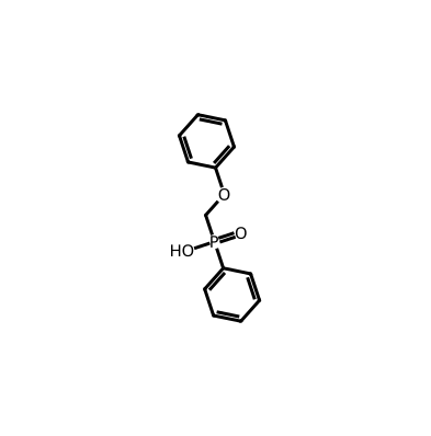 O=P(O)(COc1ccccc1)c1ccccc1